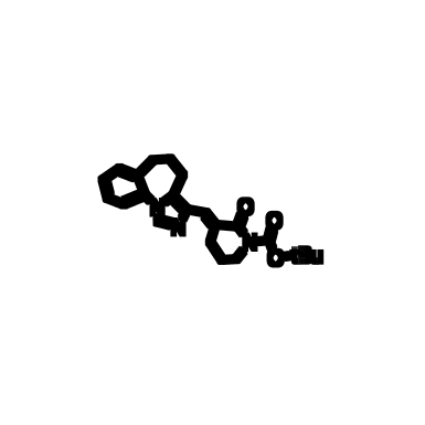 CC(C)(C)OC(=O)N1CCC/C(=C\c2ncn3c2CCCc2ccccc2-3)C1=O